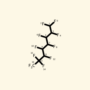 FC(F)C(F)C(F)C(F)C(F)C(F)C(F)(F)C(F)(F)F